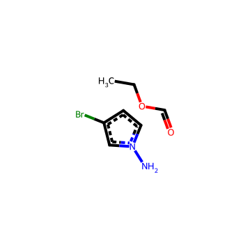 CCOC=O.Nn1ccc(Br)c1